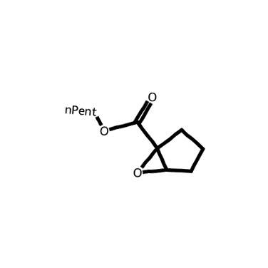 CCCCCOC(=O)C12CCCC1O2